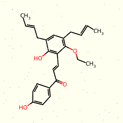 CC=CCc1cc(CC=CC)c(OCC)c(C=CC(=O)c2ccc(O)cc2)c1O